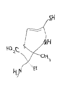 CC[C@](N)(C(=O)O)C1(C)NC(S)=CS1